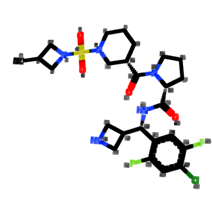 N#CC1CN(S(=O)(=O)N2CCC[C@H](C(=O)N3CCC[C@@H]3C(=O)N[C@H](c3cc(F)c(Cl)cc3F)C3CNC3)C2)C1